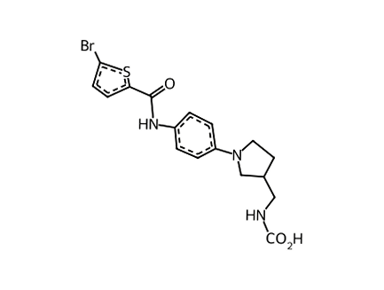 O=C(O)NCC1CCN(c2ccc(NC(=O)c3ccc(Br)s3)cc2)C1